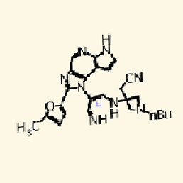 CCCCN1CC(CC#N)(N/C=C(\C=N)n2c(-c3ccc(C)o3)nc3cnc4[nH]ccc4c32)C1